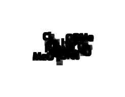 COCC(COC)n1c(NS(=O)(=O)C(C)C(OC)c2ncc(Cl)cn2)nnc1[C@@H]1COCCO1